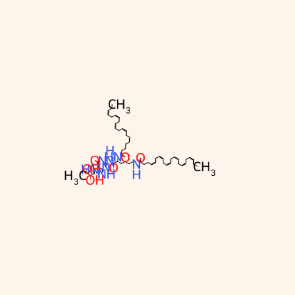 CC/C=C\C/C=C\C/C=C\C/C=C\C/C=C\C/C=C\CCC(=O)NCCCC[C@H](NC(=O)CCC/C=C\C/C=C\C/C=C\C/C=C\C/C=C\CC)C(=O)NC1=NC(=O)C2N[C@@H]([C@@H](O)[C@H](C)O)CNC2=N1